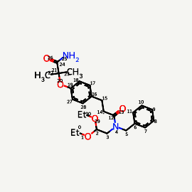 CCOC(CN(Cc1ccccc1)C(=O)[CH]Cc1ccc(OC(C)(C)C(N)=O)cc1)OCC